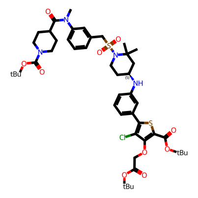 CN(C(=O)C1CCN(C(=O)OC(C)(C)C)CC1)c1cccc(CS(=O)(=O)N2CC[C@H](Nc3cccc(-c4sc(C(=O)OC(C)(C)C)c(OCC(=O)OC(C)(C)C)c4Cl)c3)CC2(C)C)c1